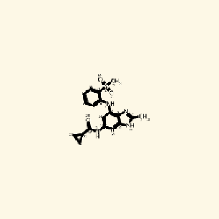 Cc1nc2c(Nc3ccccc3S(C)(=O)=O)cc(NC(=O)C3CC3)nc2[nH]1